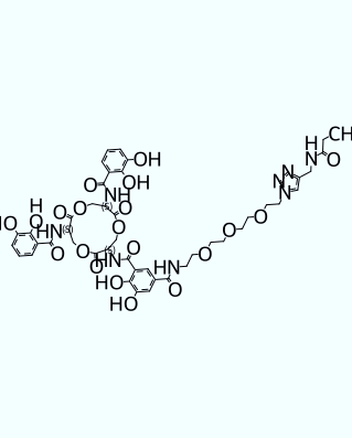 CCC(=O)NCc1cn(CCOCCOCCOCCNC(=O)c2cc(O)c(O)c(C(=O)N[C@H]3COC(=O)[C@@H](NC(=O)c4cccc(O)c4O)COC(=O)[C@@H](NC(=O)c4cccc(O)c4O)COC3=O)c2)nn1